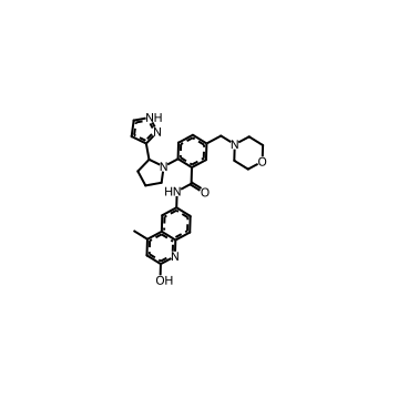 Cc1cc(O)nc2ccc(NC(=O)c3cc(CN4CCOCC4)ccc3N3CCCC3c3cc[nH]n3)cc12